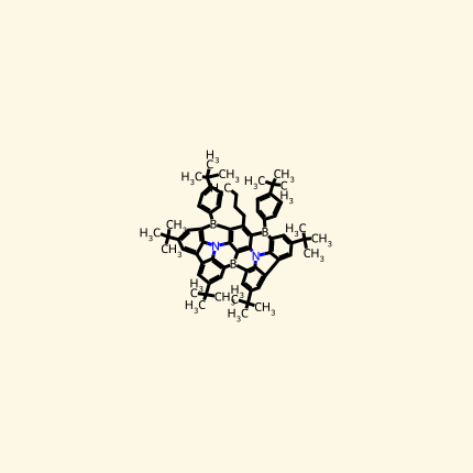 CCCCc1c2c3c4c5c1B(c1ccc(C(C)(C)C)cc1)c1cc(C(C)(C)C)cc6c7cc(C(C)(C)C)cc(c7n-5c16)B4c1cc(C(C)(C)C)cc4c5cc(C(C)(C)C)cc(c5n-3c14)B2c1ccc(C(C)(C)C)cc1